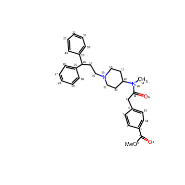 COC(=O)c1ccc(CC(=O)N(C)C2CCN(CCC(c3ccccc3)c3ccccc3)CC2)cc1